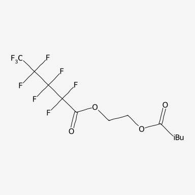 CCC(C)C(=O)OCCOC(=O)C(F)(F)C(F)(F)C(F)(F)C(F)(F)F